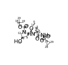 C=C[C@@H]1C[C@]1(NC(=O)C1C[C@@H](O)CN1C(=O)OC(C)(C)C)C(=O)NS(=O)(=O)C1CC1